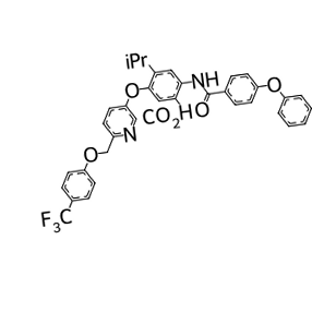 CC(C)c1cc(NC(=O)c2ccc(Oc3ccccc3)cc2)c(C(=O)O)cc1Oc1ccc(COc2ccc(C(F)(F)F)cc2)nc1